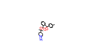 Cc1ccc(C(=O)c2ccccc2C(=O)OC(C)(C)C2CCNCC2)cc1